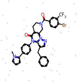 Cn1cccc1-c1ccc(-n2c(=O)c3c(n4ncc(Cc5ccccc5)c24)CN(C(=O)c2ccc(Br)c(C(F)(F)F)c2)CC3)cc1